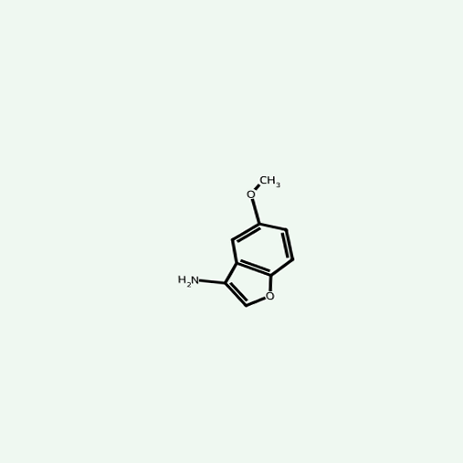 COc1ccc2occ(N)c2c1